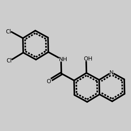 O=C(Nc1ccc(Cl)c(Cl)c1)c1ccc2cccnc2c1O